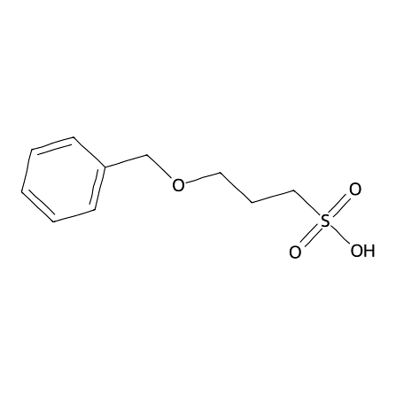 O=S(=O)(O)CCCOCc1ccccc1